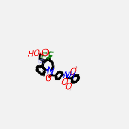 COc1cccc(OC)c1C(=O)Nc1ccc(C(=O)N2CCC(F)(F)/C(=C\C(=O)O)c3ccccc32)cc1